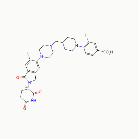 O=C1CC[C@H](N2Cc3cc(N4CCN(CC5CCN(c6ccc(C(=O)O)cc6F)CC5)CC4)c(F)cc3C2=O)C(=O)N1